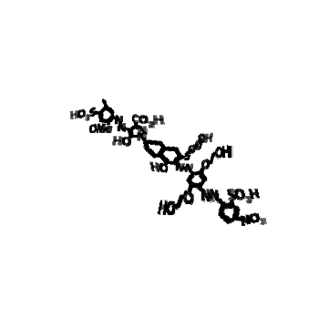 COc1cc(S(=O)(=O)O)c(C)cc1/N=N/c1c(C(=O)O)nn(-c2ccc3c(O)c(/N=N/c4cc(OCCO)c(/N=N/c5ccc([N+](=O)[O-])cc5S(=O)(=O)O)cc4OCCO)c(SOOO)cc3c2)c1O